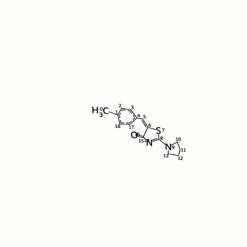 Cc1ccc(C=C2SC(N3CCCC3)=NC2=O)cc1